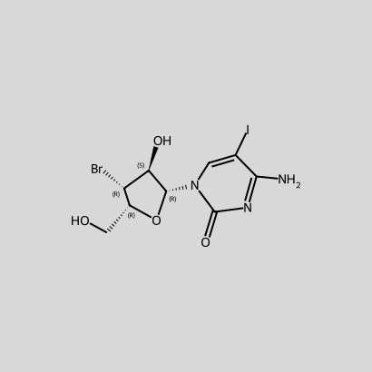 Nc1nc(=O)n([C@@H]2O[C@H](CO)[C@H](Br)[C@H]2O)cc1I